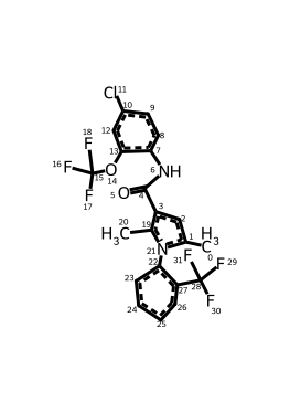 Cc1cc(C(=O)Nc2ccc(Cl)cc2OC(F)(F)F)c(C)n1-c1ccccc1C(F)(F)F